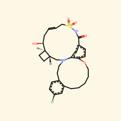 O=C1NS(=O)(=O)C/C=C/C[C@H](O)[C@@H]2CC[C@H]2CN2CCc3ccc(Cl)cc3CCCCCOc3ccc1cc32